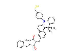 CC1(C)c2ccccc2N(c2ccc(CS)cc2)c2ccc3cc(C=C4C(=O)c5cc6ccccc6cc5C4=O)ccc3c21